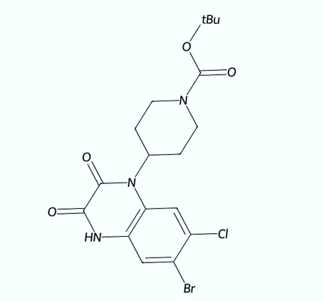 CC(C)(C)OC(=O)N1CCC(n2c(=O)c(=O)[nH]c3cc(Br)c(Cl)cc32)CC1